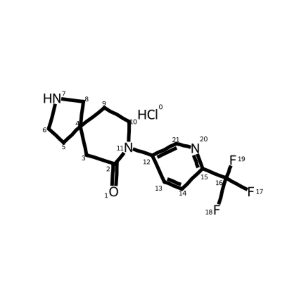 Cl.O=C1CC2(CCNC2)CCN1c1ccc(C(F)(F)F)nc1